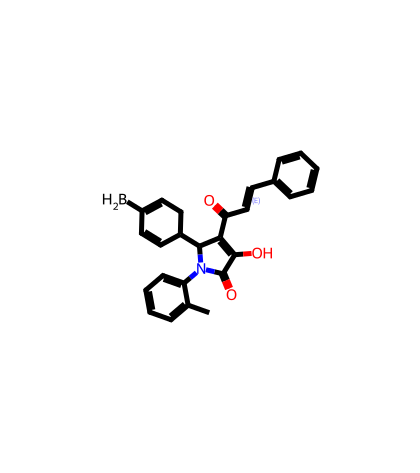 BC1=CCC(C2C(C(=O)/C=C/c3ccccc3)=C(O)C(=O)N2c2ccccc2C)C=C1